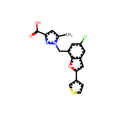 Cc1cc(C(=O)O)nn1Cc1cc(Cl)cc2cc(-c3ccsc3)oc12